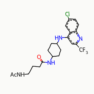 CC(=O)NCCCC(=O)NC1CCC(Nc2cc(C(F)(F)F)nc3ccc(Cl)cc23)CC1